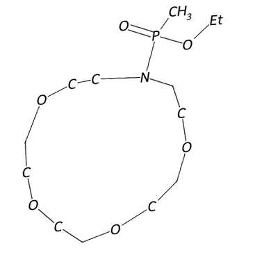 CCOP(C)(=O)N1CCOCCOCCOCCOCC1